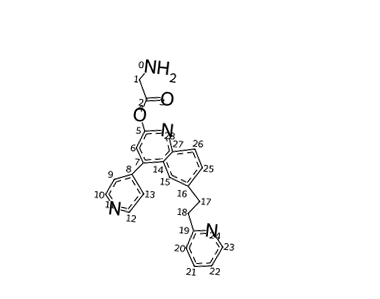 NCC(=O)Oc1cc(-c2ccncc2)c2cc(CCc3ccccn3)ccc2n1